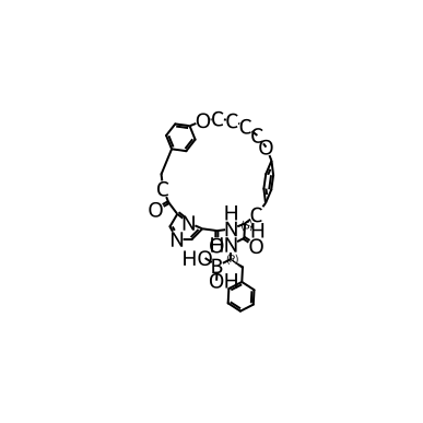 O=C1CCc2ccc(cc2)OCCCCOc2ccc(cc2)C[C@@H](C(=O)N[C@@H](Cc2ccccc2)B(O)O)NC(=O)c2cncc1n2